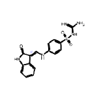 N=C(N)NS(=O)(=O)c1ccc(N/C=C2/C(=O)Nc3ccccc32)cc1